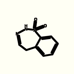 O=S1(=O)NN=CCc2ccccc21